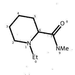 CCN1CCCCC1C(=O)NC